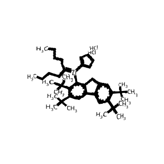 CCCC[C](CCCC)=[Zr]([C]1=CC=CC1)[c]1c2c(cc(C(C)(C)C)c1C(C)(C)C)-c1cc(C(C)(C)C)c(C(C)(C)C)cc1C2.Cl.Cl